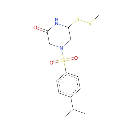 CSSC1CN(S(=O)(=O)c2ccc(C(C)C)cc2)CC(=O)N1